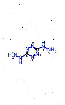 NNc1nnc(NN)nn1